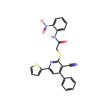 N#Cc1c(-c2ccccc2)cc(-c2cccs2)nc1SCC(=O)Nc1ccccc1[N+](=O)[O-]